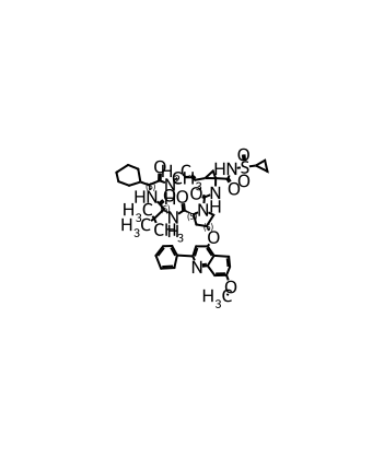 C=CC1CC1(NC(=O)N1C[C@@H](Oc2cc(-c3ccccc3)nc3cc(OC)ccc23)C[C@H]1C(=O)N[C@H](C(=O)N[C@H](C(=O)NC)C1CCCCC1)C(C)(C)C)C(=O)NS(=O)(=O)C1CC1